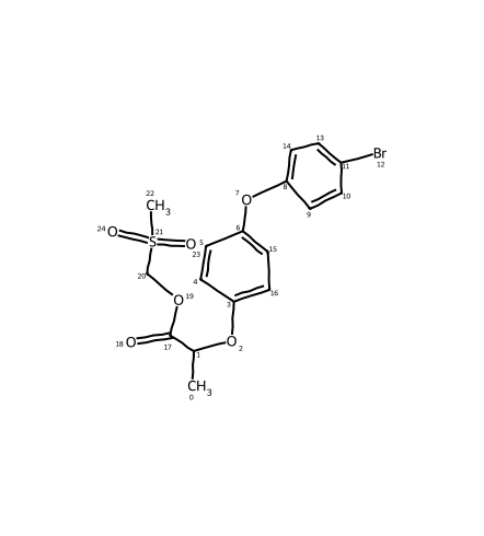 CC(Oc1ccc(Oc2ccc(Br)cc2)cc1)C(=O)OCS(C)(=O)=O